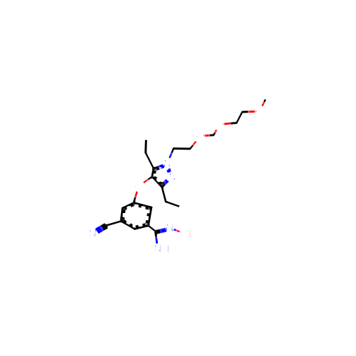 CCc1nn(CCOCOCCOC)c(CC)c1Oc1cc(C#N)cc(/C(N)=N/O)c1